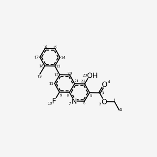 CCOC(=O)c1cnc2c(F)cc(-c3ccccc3C)cc2c1O